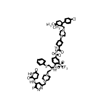 CC1(C)CCC(c2ccc(Cl)cc2)=C(CN2CCN(c3ccc(C(=O)NS(=O)(=O)c4ccc(N[C@H](CCN5CCN(Cc6cc(NC7CCC(=O)NC7=O)c(F)nn6)CC5)CSc5ccccc5)c(S(=O)(=O)C(F)(F)F)c4)cc3)CC2)C1